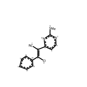 CSc1nccc(/C(C#N)=C(\Cl)c2ccccc2)n1